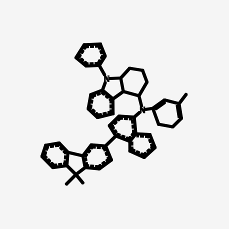 CC1=CCCC(N(c2ccc(-c3ccc4c(c3)-c3ccccc3C4(C)C)c3ccccc23)C2CCCC3C2c2ccccc2N3c2ccccc2)=C1